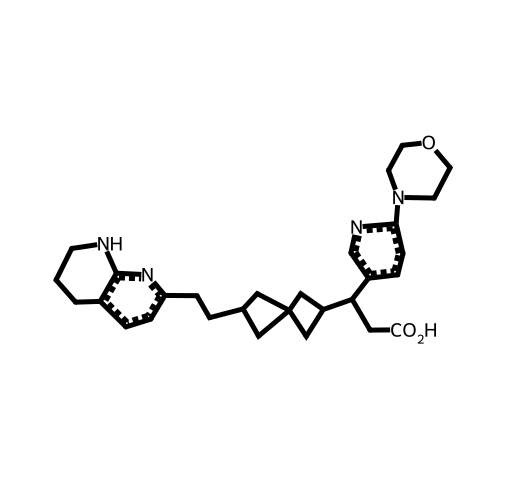 O=C(O)CC(c1ccc(N2CCOCC2)nc1)C1CC2(CC(CCc3ccc4c(n3)NCCC4)C2)C1